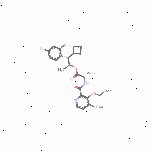 COc1ccnc(C(=O)N[C@@H](C)C(=O)O[C@@H](C)[C@H](c2ccc(F)cc2C)C2CCC2)c1OCOC(C)=O